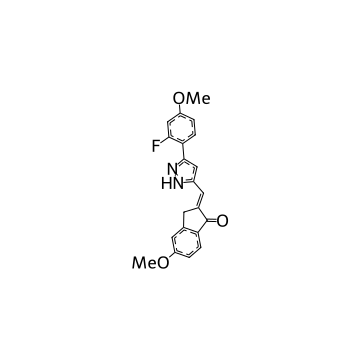 COc1ccc(-c2cc(/C=C3\Cc4cc(OC)ccc4C3=O)[nH]n2)c(F)c1